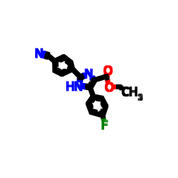 CCOC(=O)c1nc(-c2ccc(C#N)cc2)[nH]c1-c1ccc(F)cc1